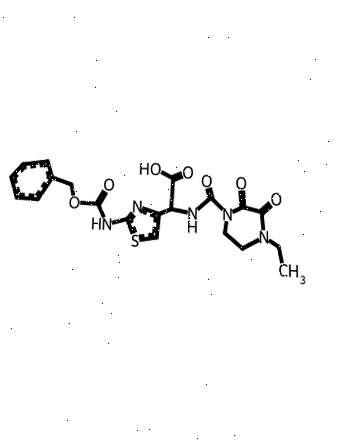 CCN1CCN(C(=O)NC(C(=O)O)c2csc(NC(=O)OCc3ccccc3)n2)C(=O)C1=O